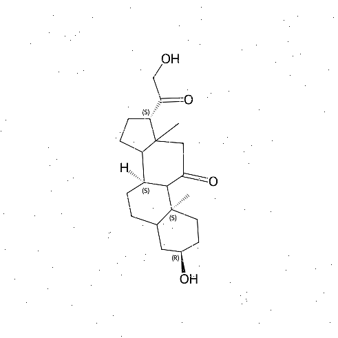 CC12CC(=O)C3[C@@H](CCC4C[C@H](O)CC[C@@]43C)C1CC[C@@H]2C(=O)CO